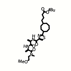 C=C(NC(=O)c1csc(C2CCCCC(CCCC(=O)OC(C)(C)C)CC2)n1)C(=O)NC(=C)C(=O)N(C)CCOC